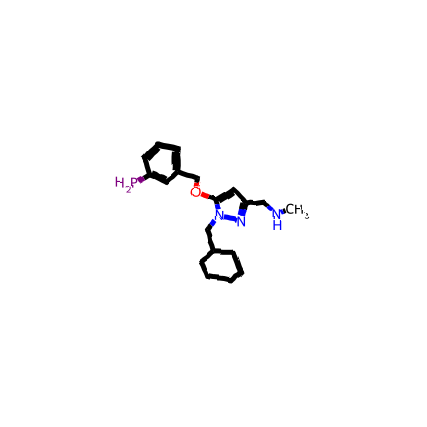 CNCc1cc(OCc2cccc(P)c2)n(CC2CCCCC2)n1